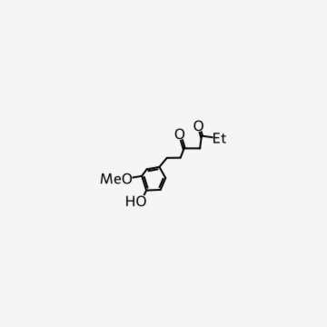 CCC(=O)CC(=O)CCc1ccc(O)c(OC)c1